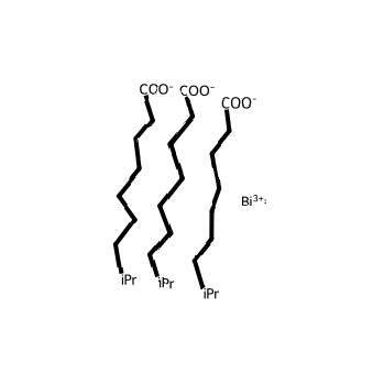 CC(C)CCCCCCC(=O)[O-].CC(C)CCCCCCC(=O)[O-].CC(C)CCCCCCC(=O)[O-].[Bi+3]